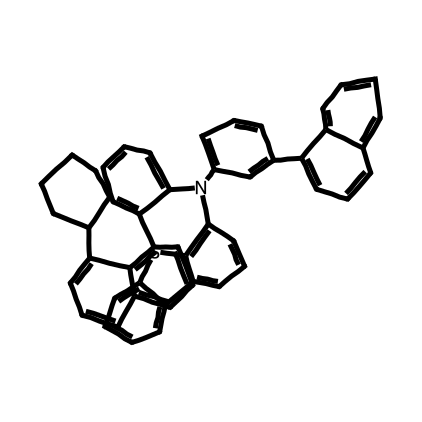 c1cc(-c2cccc3ccccc23)cc(N(c2ccccc2-c2cccc3cccc(C4CCCCC4)c23)c2cccc3c2sc2ccccc23)c1